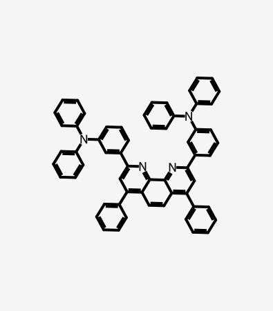 c1ccc(-c2cc(-c3cccc(N(c4ccccc4)c4ccccc4)c3)nc3c2ccc2c(-c4ccccc4)cc(-c4cccc(N(c5ccccc5)c5ccccc5)c4)nc23)cc1